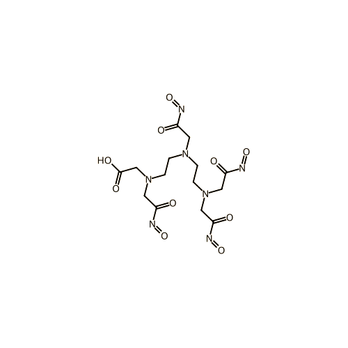 O=NC(=O)CN(CCN(CC(=O)O)CC(=O)N=O)CCN(CC(=O)N=O)CC(=O)N=O